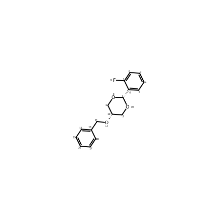 Fc1ccccc1[C@H]1OC[C@@H](OCc2ccccc2)CO1